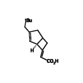 CC(C)(C)CC1=C[C@@H]2C(=CC(=O)O)CC2C1